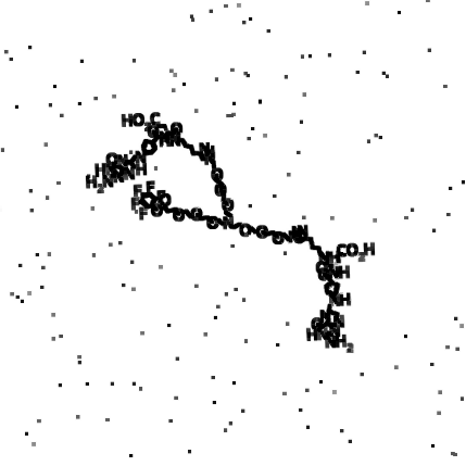 Nc1nc2ncc(CNc3ccc(C(=O)N[C@@H](CCC(=O)O)C(=O)NCCCCc4cn(CCOCCOCCOCCN(CCOCCOCCOCCC(=O)Oc5c(F)c(F)c(F)c(F)c5F)CCOCCOCCOCCn5cc(CCCCNC(=O)[C@H](CCC(=O)O)NC(=O)c6ccc(NCc7cnc8nc(N)[nH]c(=O)c8n7)cc6)nn5)nn4)cc3)nc2c(=O)[nH]1